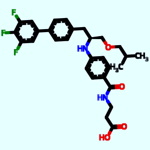 CC(C)COC[C@H](Cc1ccc(-c2cc(F)c(F)c(F)c2)cc1)Nc1ccc(C(=O)NCCC(=O)O)cc1